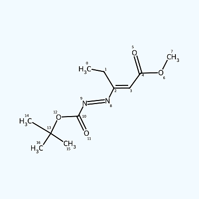 CCC(=C\C(=O)OC)/N=N/C(=O)OC(C)(C)C